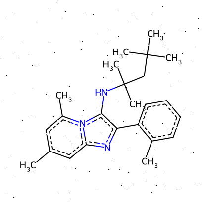 Cc1cc(C)n2c(NC(C)(C)CC(C)(C)C)c(-c3ccccc3C)nc2c1